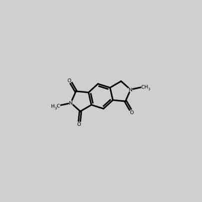 CN1Cc2cc3c(cc2C1=O)C(=O)N(C)C3=O